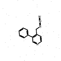 [N-]=[N+]=NCc1ccncc1-c1ccccc1